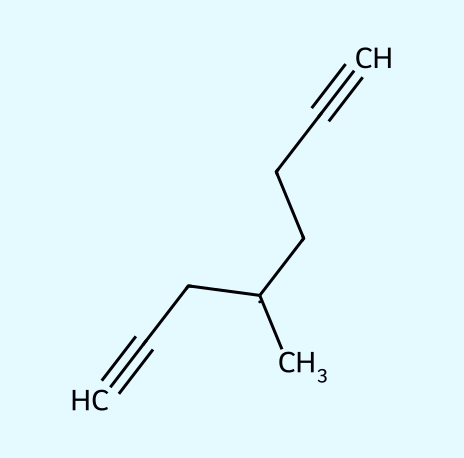 C#CCC[C](C)CC#C